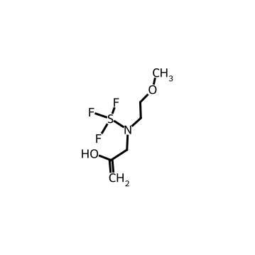 C=C(O)CN(CCOC)S(F)(F)F